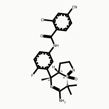 CC1(C)C(N)=N[C@](C)(c2cc(NC(=O)c3ccc(C#N)cc3Cl)ccc2F)[C@@H]2CCN=[S@@]21=O